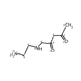 CC(=O)CC(=O)CNCCN